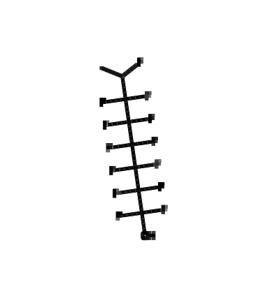 CC(F)C(F)(F)C(F)(F)C(F)(F)C(F)(F)C(F)(F)C(O)(F)F